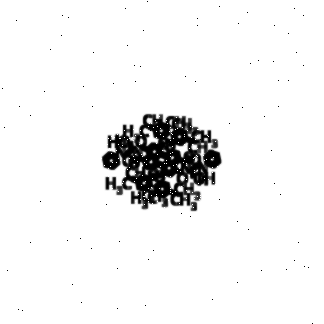 Cc1cc(Oc2cc3c4c(cc(Oc5cc(C)cc(C(C)C)c5)c5c6c(Oc7cc(C)cc(C(C)C)c7)cc7c8c(cc(Oc9cc(C)cc(C(C)C)c9)c(c2c45)c86)C(=O)N(C(CO)C(=O)Nc2ccccc2)C7=O)C(=O)N(C(CO)C(=O)Nc2ccccc2)C3=O)cc(C(C)C)c1